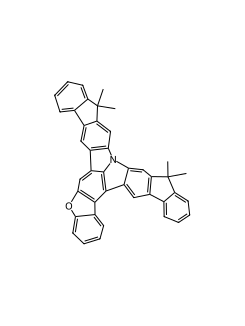 CC1(C)c2ccccc2-c2cc3c4cc5oc6ccccc6c5c5c6cc7c(cc6n(c3cc21)c45)C(C)(C)c1ccccc1-7